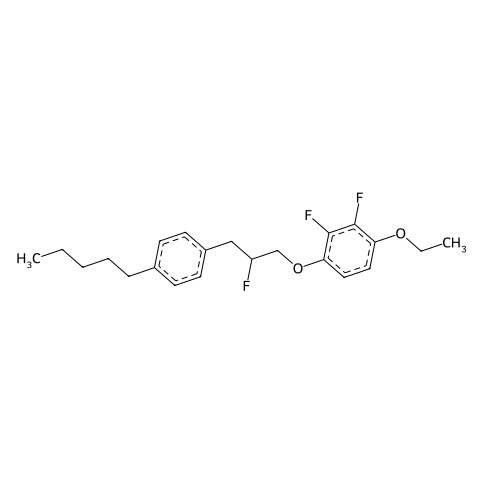 CCCCCc1ccc(CC(F)COc2ccc(OCC)c(F)c2F)cc1